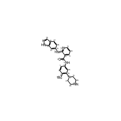 CC(C)(C)c1ccc(NC(=O)c2cccnc2Nc2ccc3cn[nH]c3c2)cc1N1CCNCC1